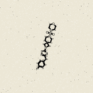 O=S(=O)(N1CCOCC1)N1CCC2(CC1)CN(c1nc(Cc3ccc(F)cc3)ns1)C2